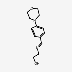 OCCN=Cc1ccc(N2CCOCC2)cc1